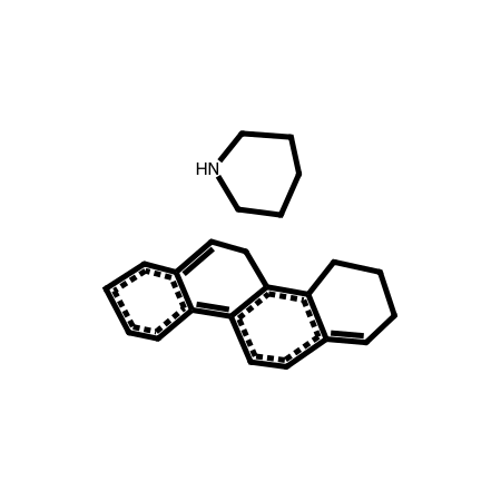 C1=c2ccc3c(c2CCC1)CC=c1ccccc1=3.C1CCNCC1